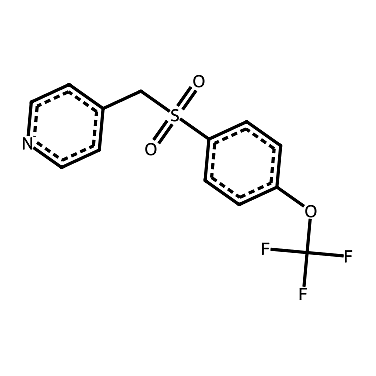 O=S(=O)(Cc1ccncc1)c1ccc(OC(F)(F)F)cc1